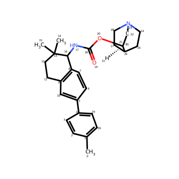 Cc1ccc(-c2ccc3c(c2)CCC(C)(C)C3NC(=O)O[C@H]2CN3CCC2CC3)cc1